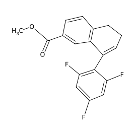 COC(=O)c1ccc2c(c1)C(c1c(F)cc(F)cc1F)=CCC2